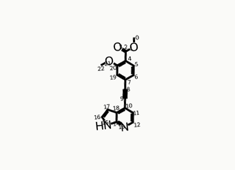 COC(=O)c1ccc(C#Cc2ccnc3[nH]ccc23)cc1OC